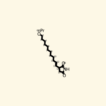 CCCOCCCCCCCCCCC=CC1CC(=O)NC1=O